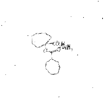 O=C(OC1(C(=O)O)CCCCCC1)C1CCCCCC1.[GaH3]